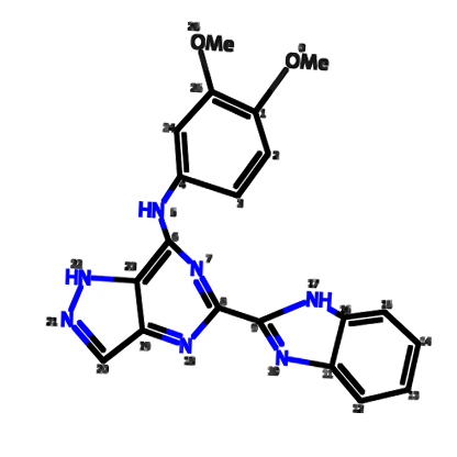 COc1ccc(Nc2nc(-c3nc4ccccc4[nH]3)nc3cn[nH]c23)cc1OC